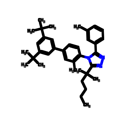 CCCCC(C)(C)c1nnc(-c2cccc(C)c2)n1-c1ccc(-c2cc(C(C)(C)C)cc(C(C)(C)C)c2)cc1C